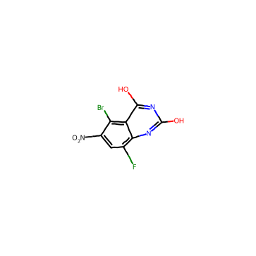 O=[N+]([O-])c1cc(F)c2nc(O)nc(O)c2c1Br